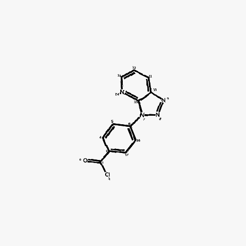 O=C(Cl)c1ccc(-n2nnc3cccnc32)cc1